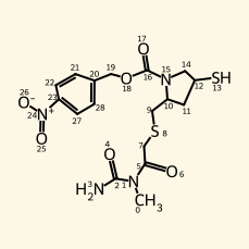 CN(C(N)=O)C(=O)CSCC1CC(S)CN1C(=O)OCc1ccc([N+](=O)[O-])cc1